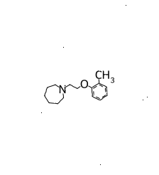 Cc1ccccc1OCCN1CCCCCC1